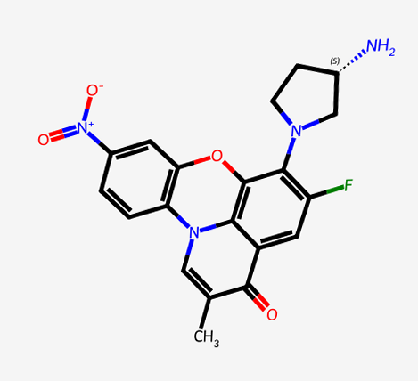 Cc1cn2c3c(c(N4CC[C@H](N)C4)c(F)cc3c1=O)Oc1cc([N+](=O)[O-])ccc1-2